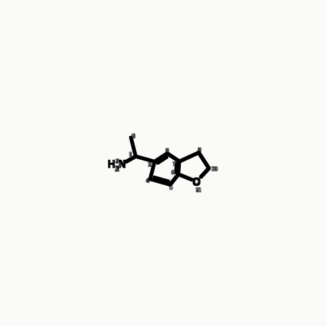 CC(N)c1ccc2c(c1)CCO2